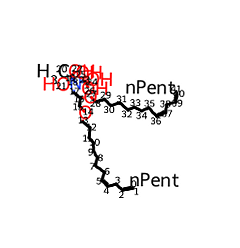 CCCCC/C=C\C/C=C\CCCCCCCCOCC(CN(C(C)(O)O)C(O)(O)O)OCCCCCCCC/C=C\C/C=C\CCCCC